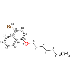 CCCCCCCOc1ccc(Br)c2ccccc12